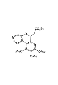 CCOC(=O)CC1Oc2ccccc2-c2c1cc(OC)c(OC)c2OC